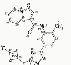 Cc1ccc(-c2nnn(CC34CC(F)(C3)C4)n2)cc1NC(=O)c1cnn2ccccc12